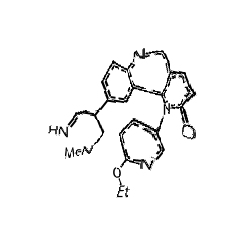 CCOc1ccc(-n2c(=O)ccc3cnc4ccc(C(C=N)CNC)cc4c32)cn1